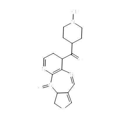 CN1CCC(C(=O)C2CC=NC3=C2N=CC2=CSCC2[N+]3=O)CC1